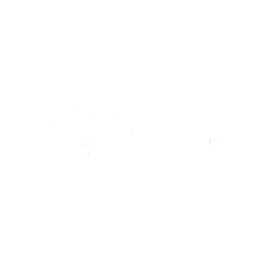 BrCCCCOC1CCCO1